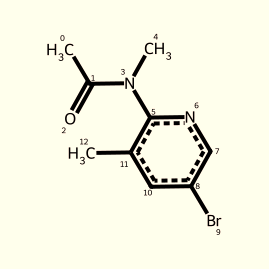 CC(=O)N(C)c1ncc(Br)cc1C